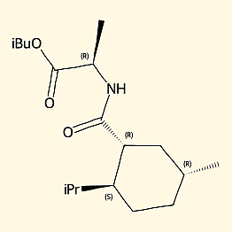 CC(C)COC(=O)[C@@H](C)NC(=O)[C@@H]1C[C@H](C)CC[C@H]1C(C)C